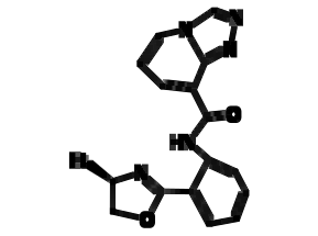 CC[C@@H]1COC(c2ccccc2NC(=O)c2cccn3cnnc23)=N1